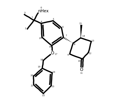 CCCCCCC(C)(C)c1ccc([C@H]2CC(=O)CC[C@@H]2C)c(OCc2ccccc2)c1